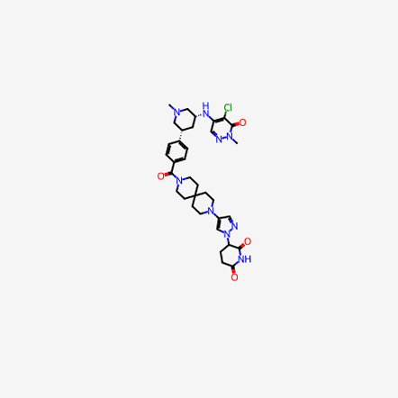 CN1C[C@H](Nc2cnn(C)c(=O)c2Cl)C[C@H](c2ccc(C(=O)N3CCC4(CC3)CCN(c3cnn(C5CCC(=O)NC5=O)c3)CC4)cc2)C1